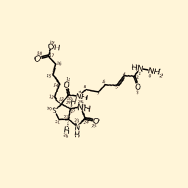 NNC(=O)C=CCCCNC(=O)[C@@]1(CCCCC(=O)O)SC[C@@H]2NC(=O)N[C@@H]21